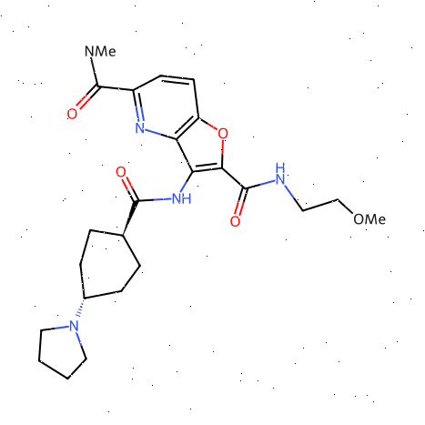 CNC(=O)c1ccc2oc(C(=O)NCCOC)c(NC(=O)[C@H]3CC[C@H](N4CCCC4)CC3)c2n1